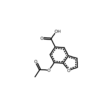 CC(=O)Oc1cc(C(=O)O)cc2ccoc12